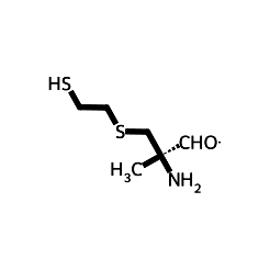 C[C@@](N)([C]=O)CSCCS